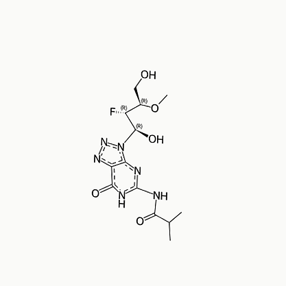 CO[C@H](CO)[C@@H](F)[C@@H](O)n1nnc2c(=O)[nH]c(NC(=O)C(C)C)nc21